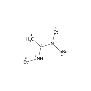 CCCCN(CC)C(C)NCC